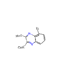 CCc1cccc2nc(C=O)c(OC)nc12